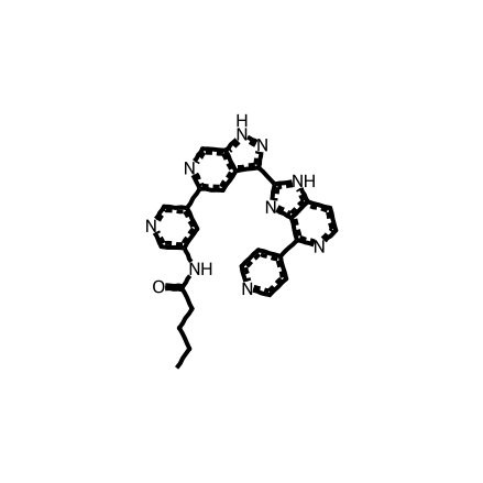 CCCCC(=O)Nc1cncc(-c2cc3c(-c4nc5c(-c6ccncc6)nccc5[nH]4)n[nH]c3cn2)c1